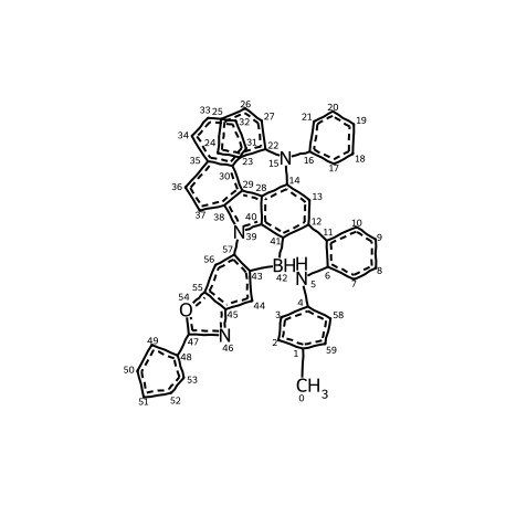 Cc1ccc(Nc2ccccc2-c2cc(N(c3ccccc3)c3ccccc3)c3c4c5ccccc5ccc4n4c3c2Bc2cc3nc(-c5ccccc5)oc3cc2-4)cc1